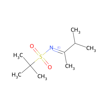 C/C(=N\S(=O)(=O)C(C)(C)C)C(C)C